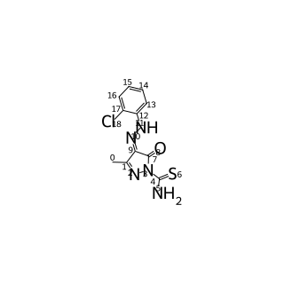 CC1=NN(C(N)=S)C(=O)C1=NNc1ccccc1Cl